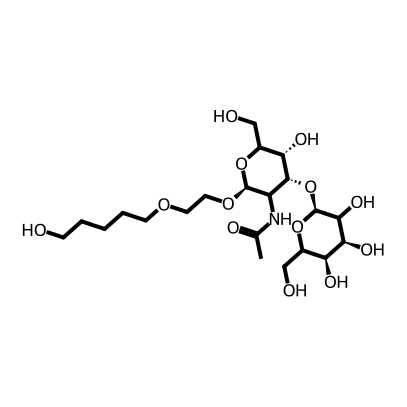 CC(=O)NC1[C@@H](OCCOCCCCCO)OC(CO)[C@H](O)[C@@H]1O[C@@H]1OC(CO)[C@H](O)[C@H](O)C1O